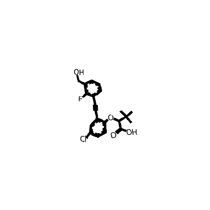 CC(C)(C)C(Oc1ccc(Cl)cc1C#Cc1cccc(CO)c1F)C(=O)O